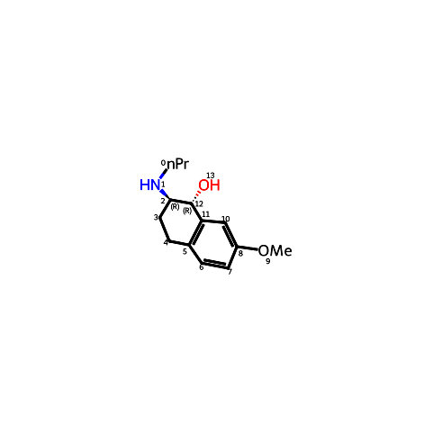 CCCN[C@@H]1CCc2ccc(OC)cc2[C@H]1O